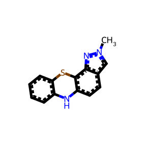 Cn1cc2ccc3c(c2n1)Sc1ccccc1N3